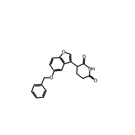 O=C1CCC(c2coc3ccc(OCc4ccccc4)cc23)C(=O)N1